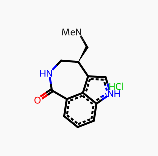 CNC[C@@H]1CNC(=O)c2cccc3[nH]cc1c23.Cl